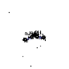 CCCCn1c2cc(/C=C/c3ccccc3)ccc2c2c3ccc(/C=C/c4ccccc4)cc3n(C)c21